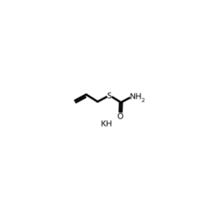 C=CCSC(N)=O.[KH]